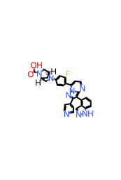 O=C(O)N1C[C@@H]2C[C@H]1CN2c1ccc(-c2ccnc3c(-c4cccc5[nH]ncc45)c(-c4ccncc4)nn23)c(F)c1